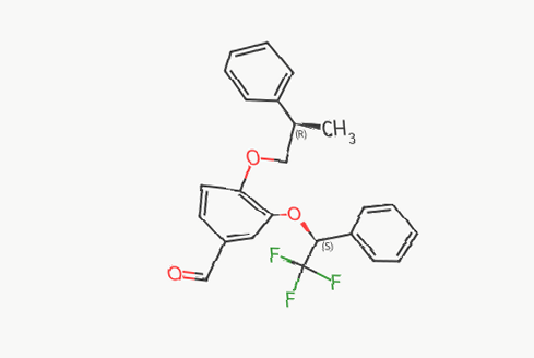 C[C@@H](COc1ccc(C=O)cc1O[C@@H](c1ccccc1)C(F)(F)F)c1ccccc1